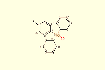 Cc1ccc([S+](=O)(c2ccccc2)c2ccccc2)cc1